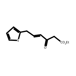 CCOC(=O)CC(=O)C=CCc1cccs1